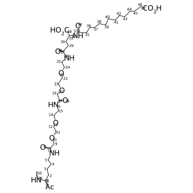 CC(=O)[C@H](CCCCNC(=O)COCCOCCNC(=O)COCCOCCNC(=O)CCC(NC(=O)CCCCCCCCCCCCC(=O)O)C(=O)O)NI